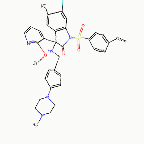 CCOc1ncccc1C1(NCc2ccc(N3CCN(C)CC3)cc2)C(=O)N(S(=O)(=O)c2ccc(OC)cc2)c2cc(F)c(C#N)cc21